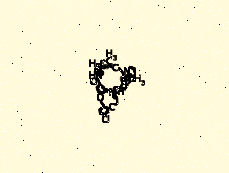 CO[C@]1(c2ncccn2)CCC[C@H](C)[C@@H](C)S(=O)(=O)NC(=O)c2ccc3c(c2)N(CCCCc2cc(Cl)ccc2CO3)C[C@@H]2CC[C@H]21